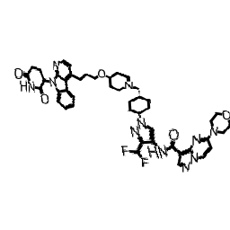 O=C1CCC(n2c3ccccc3c3c(CCCOC4CCN(C[C@H]5CC[C@H](n6cc(NC(=O)c7cnn8ccc(N9CCOCC9)nc78)c(C(F)F)n6)CC5)CC4)ccnc32)C(=O)N1